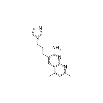 Cc1cc(C)c2cc(CCCn3ccnc3)c(N)nc2n1